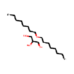 CC(C)CCCCCCCOCCCCCCCC(C)C.OCC(O)CO